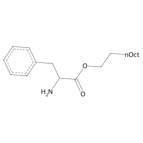 CCCCCCCCCCOC(=O)C(N)Cc1ccccc1